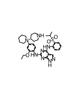 CCOc1cc([N+]2(C3CCNCC3)CCCCC2)ccc1Nc1nc(Nc2ccccc2S(=O)(=O)C(C)C)c2cn[nH]c2n1